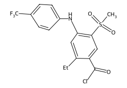 CCc1cc(Nc2ccc(C(F)(F)F)cc2)c(S(C)(=O)=O)cc1C(=O)Cl